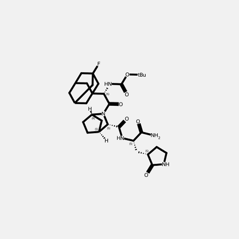 CC(C)(C)OC(=O)N[C@H](C(=O)N1[C@@H]2CC[C@@H](C2)[C@H]1C(=O)N[C@@H](C[C@@H]1CCNC1=O)C(N)=O)C12CC3CC(CC(F)(C3)C1)C2